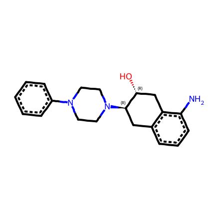 Nc1cccc2c1C[C@@H](O)[C@H](N1CCN(c3ccccc3)CC1)C2